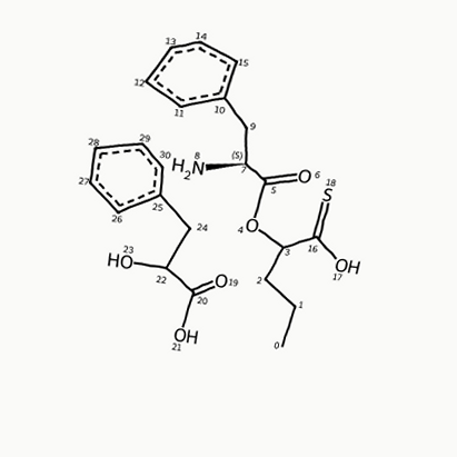 CCCC(OC(=O)[C@@H](N)Cc1ccccc1)C(O)=S.O=C(O)C(O)Cc1ccccc1